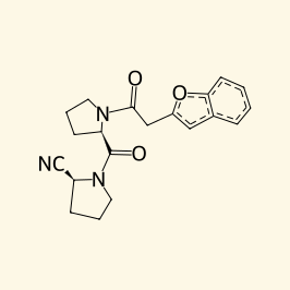 N#C[C@@H]1CCCN1C(=O)[C@H]1CCCN1C(=O)Cc1cc2ccccc2o1